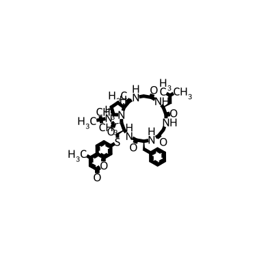 C=C1NCC(=O)N[C@@H](CC(C)C)C(=O)NCC(=O)N[C@@H](Cc2ccccc2)C(=O)N[C@@H](CSc2ccc3c(C)cc(=O)oc3c2)[C@H](C(=O)NC(C)(C)C)N2CCC[C@@H]12